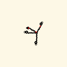 C(CCCCC1CC2CC(C1)O2)CCCCC(CCCCCCCCCC1CCC2OC2C1)(CCCCCCCCCC1CCC2OC2C1)CCCCCCCCCC1CCC2OC2C1